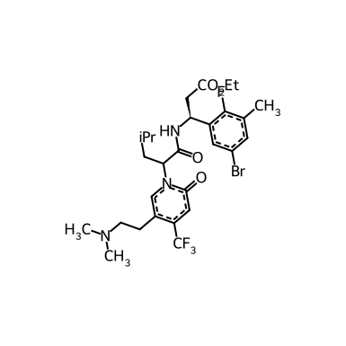 CCOC(=O)C[C@H](NC(=O)C(CC(C)C)n1cc(CCN(C)C)c(C(F)(F)F)cc1=O)c1cc(Br)cc(C)c1F